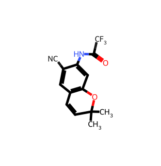 CC1(C)C=Cc2cc(C#N)c(NC(=O)C(F)(F)F)cc2O1